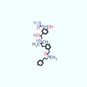 CN(CCc1ccccc1)C(=O)Cc1cccc(CC(C)(C)NCC(O)c2ccc(O)c(NC(N)=O)c2)c1